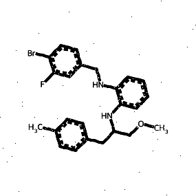 COCC(Cc1ccc(C)cc1)Nc1ccccc1NCc1ccc(Br)c(F)c1